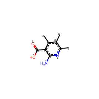 Cc1nc(N)c(C(=O)O)c(C)c1C